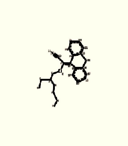 CCCCC(CC)COC(C#N)=C1c2ccccc2Cc2ccccc21